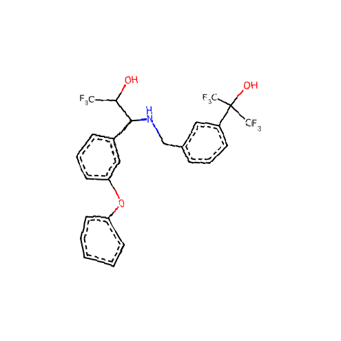 OC(C(NCc1cccc(C(O)(C(F)(F)F)C(F)(F)F)c1)c1cccc(Oc2ccccc2)c1)C(F)(F)F